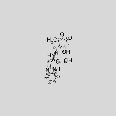 C=C1C(=O)C(=O)C=C(O)C1C=NNC(=O)Cc1nc2ccccc2[nH]1.Cl